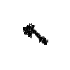 CCc1ncc2c(P(C)(C)=O)c(Nc3nc(Nc4cc(CC)c(N5CCC(N6CC7(CCN(c8cc(F)c([C@H]9CCC(=O)NC9=O)c(F)c8)CC7)C6)CC5)cc4OC)ncc3Br)ccc2n1